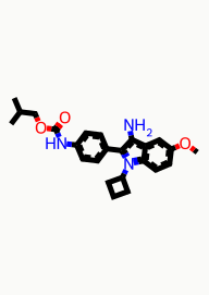 COc1ccc2c(c1)c(N)c(-c1ccc(NC(=O)OCC(C)C)cc1)n2C1CCC1